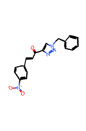 O=C(C=Cc1ccc([N+](=O)[O-])cc1)c1cn(Cc2ccccc2)nn1